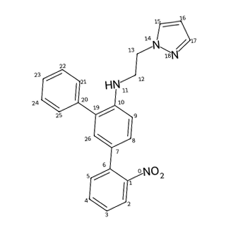 O=[N+]([O-])c1ccccc1-c1ccc(NCCn2cccn2)c(-c2ccccc2)c1